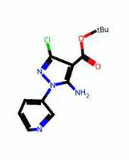 CC(C)(C)OC(=O)c1c(Cl)nn(-c2cccnc2)c1N